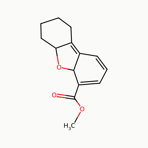 COC(=O)C1=CC=CC2=C3CCCCC3OC12